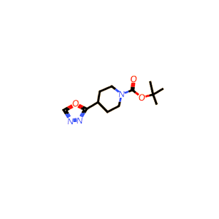 CC(C)(C)OC(=O)N1CCC(c2nnco2)CC1